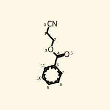 N#CCCOC(=O)c1ccccc1